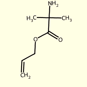 C=CCOC(=O)C(C)(C)N